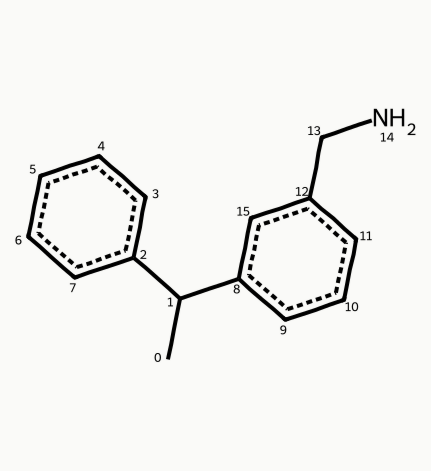 CC(c1ccccc1)c1cccc(CN)c1